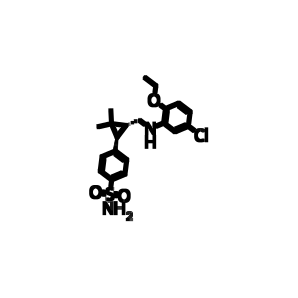 CCOc1ccc(Cl)cc1NC[C@@H]1[C@@H](c2ccc(S(N)(=O)=O)cc2)C1(C)C